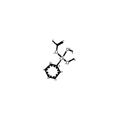 C=C(C)O[Si](OC)(OC)c1ccccc1